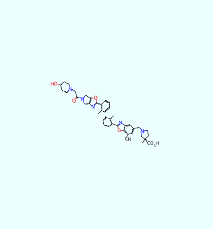 Cc1c(-c2nc3c(o2)CN(C(=O)CN2CCC(O)CC2)C3)cccc1-c1cccc(-c2nc3cc(CN4CC[C@@](C)(C(=O)O)C4)cc(C#N)c3o2)c1C